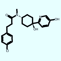 CN(C(=O)CCc1ccc(Cl)cc1)[C@H]1CC[C@@](O)(c2ccc(O)cn2)CC1